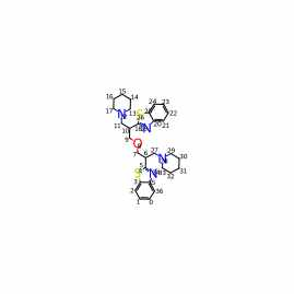 c1ccc2sc(C(COCC(CN3CCCCC3)c3nc4ccccc4s3)CN3CCCCC3)nc2c1